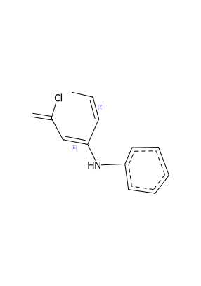 C=C(Cl)/C=C(\C=C/C)Nc1ccccc1